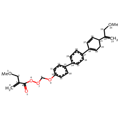 C=C(COC)C(=O)OOCOc1ccc(-c2ccc(C3=CCC(C(=C)COC)C=C3)cc2)cc1